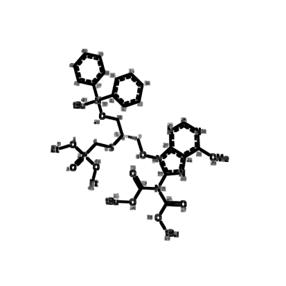 CCOP(=O)(CS[C@@H](COn1c(N(C(=O)OC(C)(C)C)C(=O)OC(C)(C)C)nc2c(OC)ncnc21)CO[Si](c1ccccc1)(c1ccccc1)C(C)(C)C)OCC